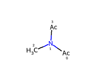 [CH2]C(=O)N(C)C(C)=O